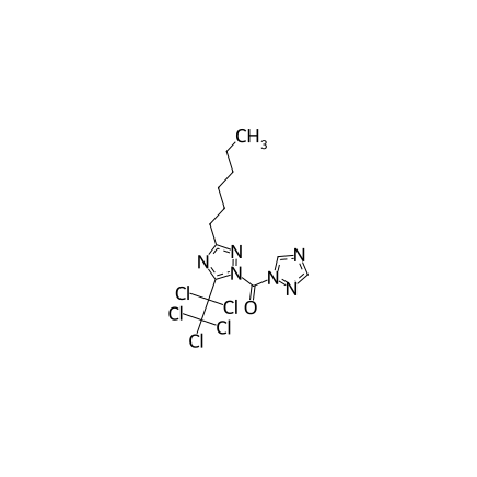 CCCCCCc1nc(C(Cl)(Cl)C(Cl)(Cl)Cl)n(C(=O)n2cncn2)n1